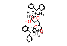 CC(C)([SiH2]OC(C=O)CC(CC(=O)O)O[SiH2]C(C)(C)C(c1ccccc1)c1ccccc1)C(c1ccccc1)c1ccccc1